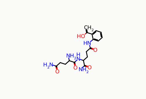 C=C(O)c1ccccc1NC(=O)CCC(NC(=O)C(N)CCC(N)=O)C(N)=O